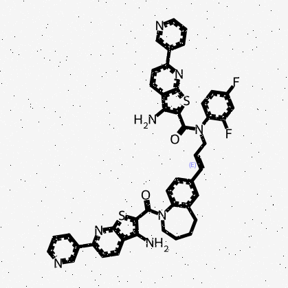 Nc1c(C(=O)N(C/C=C/c2ccc3c(c2)CCCCN3C(=O)c2sc3nc(-c4cccnc4)ccc3c2N)c2ccc(F)cc2F)sc2nc(-c3cccnc3)ccc12